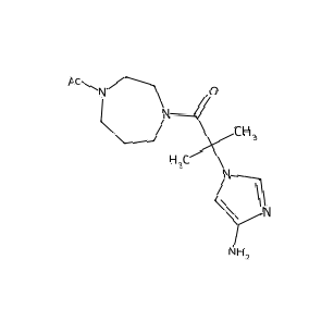 CC(=O)N1CCCN(C(=O)C(C)(C)n2cnc(N)c2)CC1